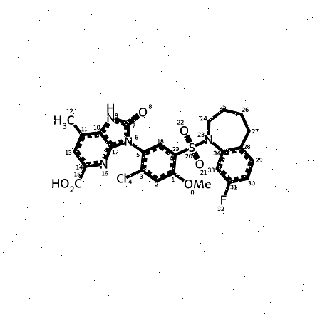 COc1cc(Cl)c(-n2c(=O)[nH]c3c(C)cc(C(=O)O)nc32)cc1S(=O)(=O)N1CCCCc2ccc(F)cc21